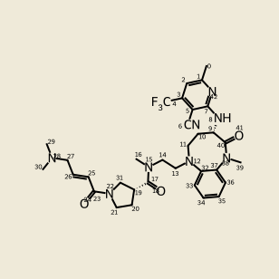 Cc1cc(C(F)(F)F)c(C#N)c(N[C@H]2CCN(CCN(C)C(=O)[C@@H]3CCN(C(=O)/C=C/CN(C)C)C3)c3ccccc3N(C)C2=O)n1